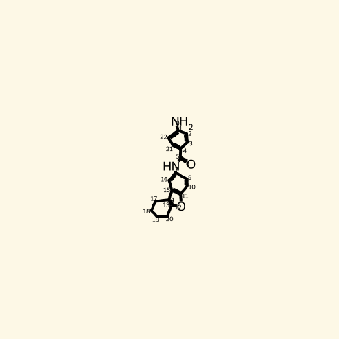 Nc1ccc(C(=O)Nc2ccc3oc4c(c3c2)CCCC4)cc1